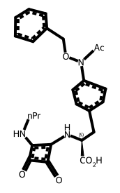 CCCNc1c(N[C@@H](Cc2ccc(N(OCc3ccccc3)C(C)=O)cc2)C(=O)O)c(=O)c1=O